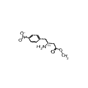 COC(=O)C[C@@H](N)Cc1ccc([N+](=O)[O-])cc1